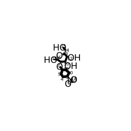 O=[N+]([O-])c1ccc(O[C@H]2[C@@H](O)[C@H](O)[C@@H](CO)O[C@@H]2O)cc1